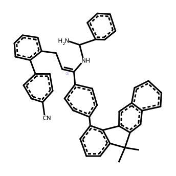 CC1(C)c2cc3ccccc3cc2-c2c(-c3ccc(/C(=C/Cc4ccccc4-c4ccc(C#N)cc4)NC(N)c4ccccc4)cc3)cccc21